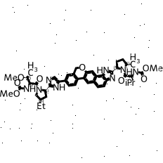 CC[C@H]1C[C@@H](c2ncc(-c3ccc4c(c3)COc3cc5c(ccc6nc([C@@H]7CC[C@H](C)N7C(=O)[C@@H](NC(=O)OC)C(C)C)[nH]c65)cc3-4)[nH]2)N(C(=O)[C@@H](NC(=O)OC)[C@@H](C)OC)C1